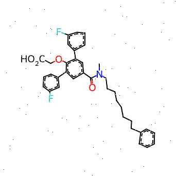 CN(CCCCCCCCc1ccccc1)C(=O)c1cc(-c2cccc(F)c2)c(OCC(=O)O)c(-c2cccc(F)c2)c1